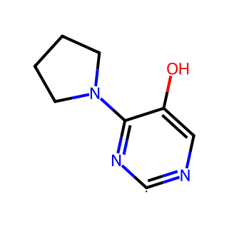 Oc1cn[c]nc1N1CCCC1